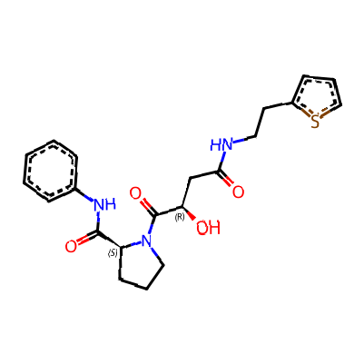 O=C(C[C@@H](O)C(=O)N1CCC[C@H]1C(=O)Nc1ccccc1)NCCc1cccs1